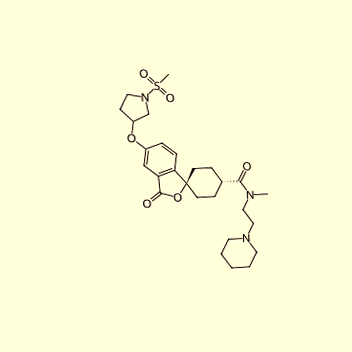 CN(CCN1CCCCC1)C(=O)[C@H]1CC[C@@]2(CC1)OC(=O)c1cc(OC3CCN(S(C)(=O)=O)C3)ccc12